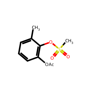 CC(=O)Oc1cccc(C)c1OS(C)(=O)=O